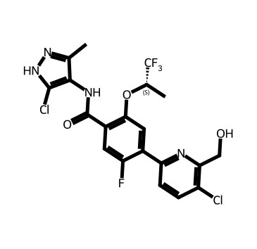 Cc1n[nH]c(Cl)c1NC(=O)c1cc(F)c(-c2ccc(Cl)c(CO)n2)cc1O[C@@H](C)C(F)(F)F